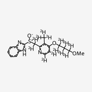 [2H]c1nc(C([2H])([2H])[S+]([O-])c2nc3ccccc3[nH]2)c(C([2H])([2H])[2H])c(OC([2H])([2H])C([2H])([2H])C([2H])([2H])OC)c1[2H]